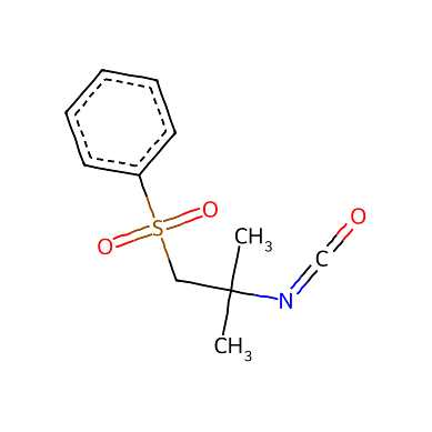 CC(C)(CS(=O)(=O)c1ccccc1)N=C=O